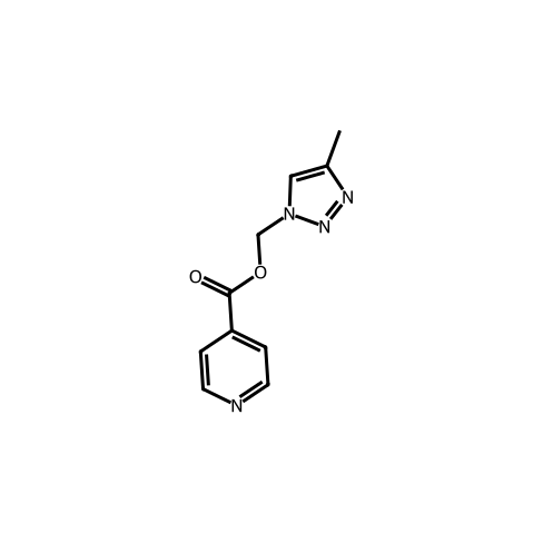 Cc1cn(COC(=O)c2ccncc2)nn1